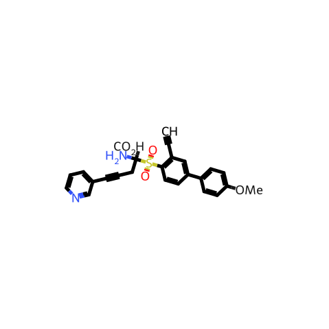 C#Cc1cc(-c2ccc(OC)cc2)ccc1S(=O)(=O)C(N)(CC#Cc1cccnc1)C(=O)O